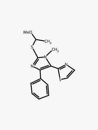 COC(C)Sc1nc(-c2ccccc2)c(-c2nccs2)n1C